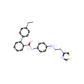 CCc1ccc(-c2ccccc2C(=O)Nc2ccc(NCCc3cscn3)cc2)cc1